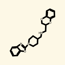 c1ccc2c(c1)OCC(CNCC1CCN(c3nc4ccccc4o3)CC1)O2